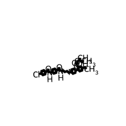 CCc1ccc(C2CCN(CCCCNC(=O)c3ccc(NC(=O)c4ccc(Cl)cc4)cc3)CC2)c(OP(=O)(O)OC(C)CC)c1